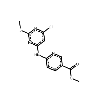 COC(=O)c1ccc(Nc2cc(Cl)nc(SC)n2)nc1